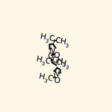 CC(=O)N1CC[C@@H](C(C)CC(C)(C)OC(=O)N2CC[C@@H](C(C)C)C2)C1